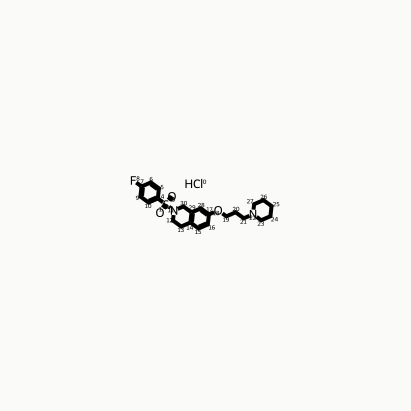 Cl.O=S(=O)(c1ccc(F)cc1)N1CCc2ccc(OCCCN3CCCCC3)cc2C1